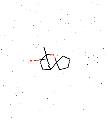 CC12CCC(CC1O)C1(CCCC1)O2